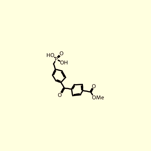 COC(=O)c1ccc(C(=O)c2ccc(CP(=O)(O)O)cc2)cc1